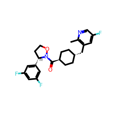 Cc1ncc(F)cc1C[C@H]1CC[C@H](C(=O)N2OCC[C@H]2c2cc(F)cc(F)c2)CC1